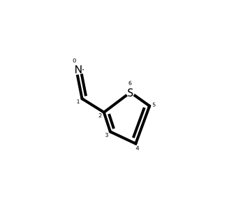 [N]=Cc1cccs1